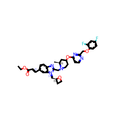 CCOC(=O)/C=C/c1ccc2c(c1)/[N+](=C/[C@@H]1CCO1)C(CN1CCC(Oc3ccnc(COc4ccc(F)cc4F)n3)C[C@@H]1C)=N2